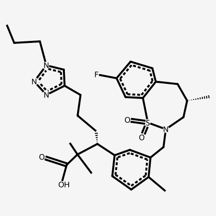 CCCn1cc(CCC[C@H](c2ccc(C)c(CN3C[C@@H](C)Cc4ccc(F)cc4S3(=O)=O)c2)C(C)(C)C(=O)O)nn1